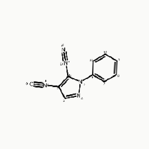 [C-]#[N+]c1cnn(-c2ccccc2)c1[N+]#N